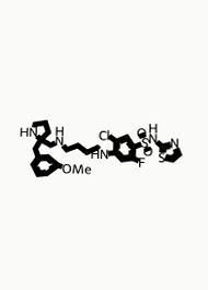 COc1cccc(CC2(CNCCCCNc3cc(F)c(S(=O)(=O)Nc4nccs4)cc3Cl)CCCN2)c1